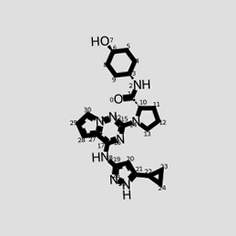 O=C(N[C@H]1CC[C@H](O)CC1)[C@@H]1CCCN1c1nc(Nc2cc(C3CC3)[nH]n2)c2cccn2n1